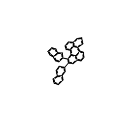 c1ccc2cc(-c3cc4cccc5c6cccc7cccc(c(c3-c3ccc8ccccc8c3)c45)c76)ccc2c1